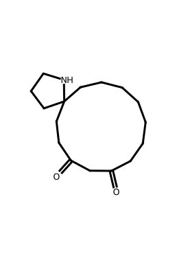 O=C1CCCCCCCC2(CCCN2)CCC(=O)C1